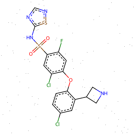 O=S(=O)(Nc1ncns1)c1cc(Cl)c(Oc2ccc(Cl)cc2C2CNC2)cc1F